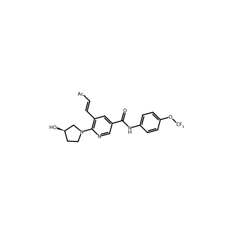 CC(=O)/C=C/c1cc(C(=O)Nc2ccc(OC(F)(F)F)cc2)cnc1N1CC[C@@H](O)C1